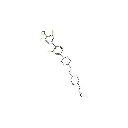 CCCC1CCC(CCC2CCC(c3ccc(-c4cc(F)c(Cl)c(F)c4)c(F)c3)CC2)CC1